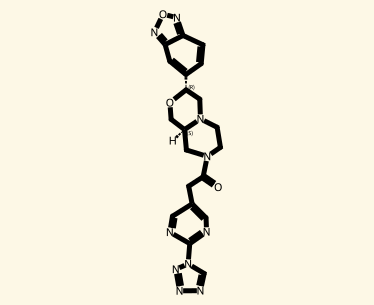 O=C(Cc1cnc(-n2cnnn2)nc1)N1CCN2C[C@@H](c3ccc4nonc4c3)OC[C@@H]2C1